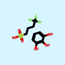 O=S(=O)(O)CCCC(F)(F)F.Oc1cccc(O)c1O